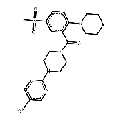 CS(=O)(=O)c1ccc(N2CCCCC2)c(C(=O)N2CCN(c3ccc([N+](=O)[O-])cn3)CC2)c1